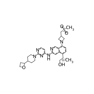 C[C@H](CO)c1ccc(N2CC(CS(C)(=O)=O)C2)c2cnc(Nc3ccnc(N4CCC(C5CCO5)CC4)n3)cc12